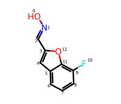 ON=Cc1cc2cccc(F)c2o1